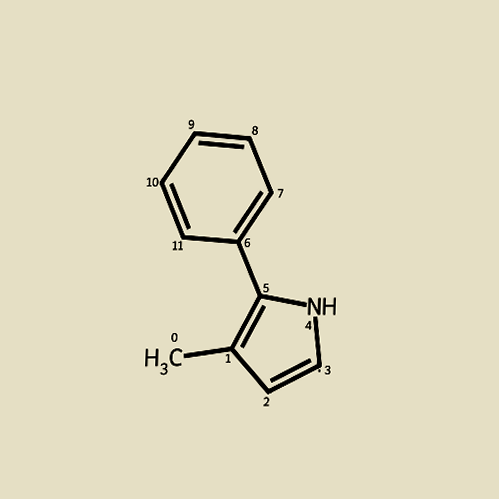 Cc1c[c][nH]c1-c1ccccc1